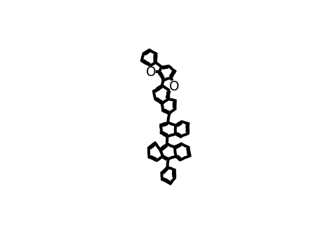 c1ccc(-c2c3ccccc3c(-c3ccc(-c4ccc5c(ccc6c5oc5ccc7c8ccccc8oc7c56)c4)c4ccccc34)c3ccccc23)cc1